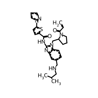 C=CC(=O)N1CCCC1Cn1c(NC(=O)c2ccc(-n3cccn3)s2)nc2cc(CNCC(C)C)ccc21